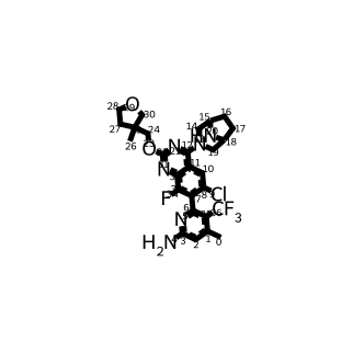 Cc1cc(N)nc(-c2c(Cl)cc3c(N4CC5CCC(C4)N5)nc(OCC4(C)CCOC4)nc3c2F)c1C(F)(F)F